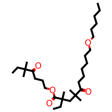 CCCCCCOCCCCCCC(=O)C(C)(C)CC(C)(CC)C(=O)OCCCC(=O)C(C)(C)CC